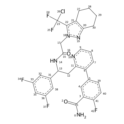 NC(=O)c1cc(-c2cccnc2CC(NC(=O)Cn2nc3c(c2C(F)(F)Cl)CCCC3)c2cc(F)cc(F)c2)ccc1F